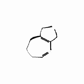 C1=NC2=C(CCC1)CSC2